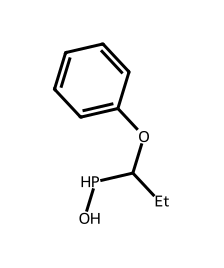 CCC(Oc1ccccc1)PO